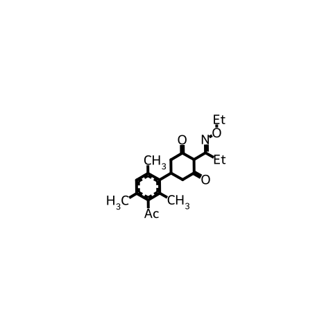 CCON=C(CC)C1C(=O)CC(c2c(C)cc(C)c(C(C)=O)c2C)CC1=O